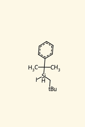 CC(C)(C)C[SiH](I)C(C)(C)c1ccccc1